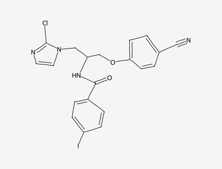 N#Cc1ccc(OCC(Cn2ccnc2Cl)NC(=O)c2ccc(I)cc2)cc1